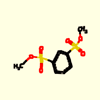 COS(=O)(=O)c1cccc(S(=O)(=O)OC)c1